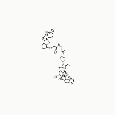 CCc1cc(Nc2ncc(Cl)c(Nc3ccc4nccnc4c3NS(C)(=O)=O)n2)c(OC)cc1N1CCC(N(C)CCN(C)C(=O)COc2cccc3c2CN(C2CCC(=O)NC2=O)C3=O)CC1